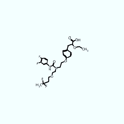 CCOC(Cc1ccc(OCCN(CCOCCC(C)(F)F)C(=O)Nc2ccc(F)c(F)c2)cc1)C(=O)O